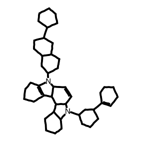 C1=CC2C(C3CCCCC3N2C2CCCC(C3=CCCCC3)C2)C2C3=C(CCCC3)N(C3CCC4CC(C5CCCCC5)CCC4C3)C12